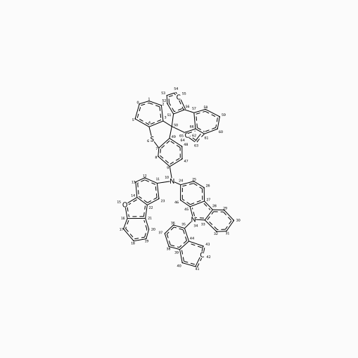 c1ccc2c(c1)Sc1cc(N(c3ccc4oc5ccccc5c4c3)c3ccc4c5ccccc5n(-c5cccc6ccccc56)c4c3)ccc1C21c2ccccc2-c2cccc3cccc1c23